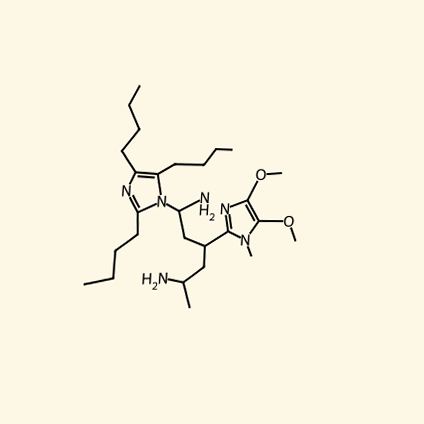 CCCCc1nc(CCCC)n(C(N)CC(CC(C)N)c2nc(OC)c(OC)n2C)c1CCCC